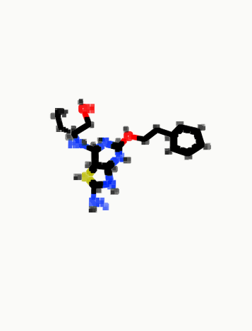 CC(C)C[C@H](CO)Nc1nc(OCCc2ccccc2)nc2nc(N)sc12